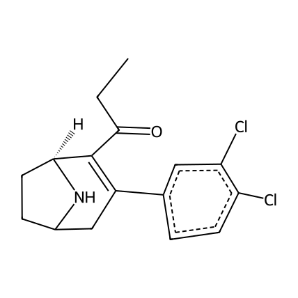 CCC(=O)C1=C(c2ccc(Cl)c(Cl)c2)CC2CC[C@@H]1N2